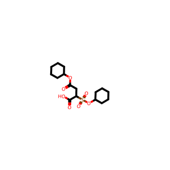 O=C(CC(C(=O)O)S(=O)(=O)OC1CCCCC1)OC1CCCCC1